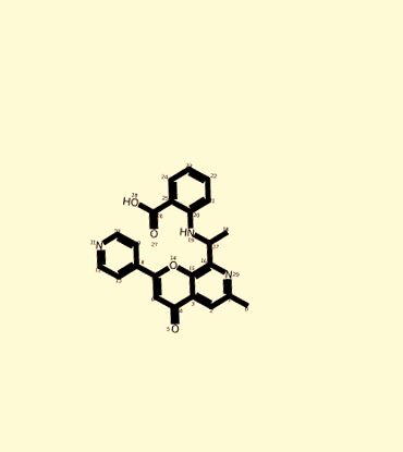 Cc1cc2c(=O)cc(-c3ccncc3)oc2c(C(C)Nc2ccccc2C(=O)O)n1